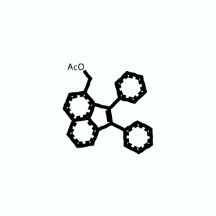 CC(=O)OCc1ccc2cccc3c2c1C(c1ccccc1)=C3c1ccccc1